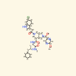 CNC(=O)[C@H](CCCc1ccccc1)NC(=O)C1CN(C(=O)Cc2c[nH]c3cc(Cl)ccc23)CC2CN(C(=O)c3cnc(OC)cn3)CC21